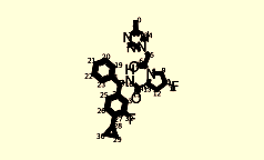 Cc1nnn(CC(=O)N2C[C@H](F)C[C@H]2C(=O)N[C@@H](c2ccccc2)c2ccc(C3CC3)c(F)c2)n1